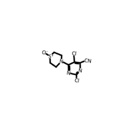 N#Cc1nc(Cl)nc(N2CC[S+]([O-])CC2)c1Cl